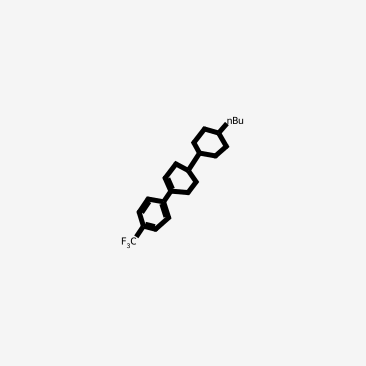 CCCCC1CCC(C2CC=C(c3ccc(C(F)(F)F)cc3)CC2)CC1